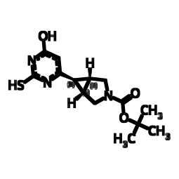 CC(C)(C)OC(=O)N1C[C@@H]2[C@H](C1)[C@H]2c1cc(O)nc(S)n1